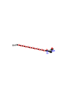 CNCCOCCOCCOCCOCCOCCOCCOCCOCCOCCOCCOCCOCCC(=O)NCCCC1(C)CCC(NC2CCOCC2OC)C1